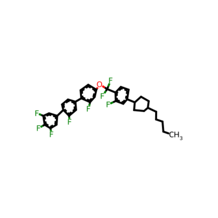 CCCCCC1CCC(c2ccc(C(F)(F)Oc3ccc(-c4ccc(-c5cc(F)c(F)c(F)c5)c(F)c4)c(F)c3)c(F)c2)CC1